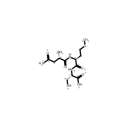 CSCC[C@H](NC(=O)[C@@H](N)CC(N)=O)C(=O)N[C@@H](CO)C(=O)O